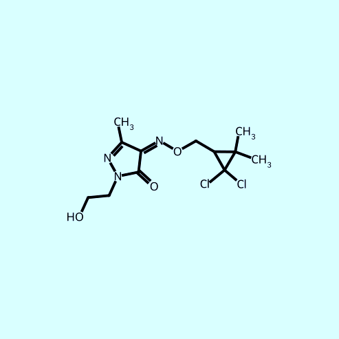 CC1=NN(CCO)C(=O)C1=NOCC1C(C)(C)C1(Cl)Cl